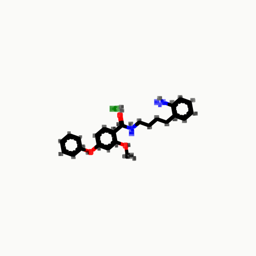 COc1cc(Oc2ccccc2)ccc1C(=O)NCCCCc1ccccc1N.Cl